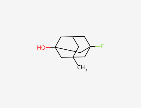 CC12CC3CC(O)(C1)CC(F)(C3)C2